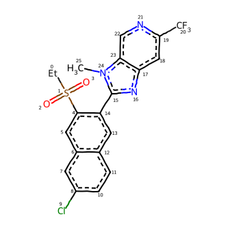 CCS(=O)(=O)c1cc2cc(Cl)ccc2cc1-c1nc2cc(C(F)(F)F)ncc2n1C